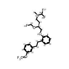 CN(CC[C@@H](COc1ccccc1CCc1cccc(OC(F)(F)F)c1)OCF)C(F)F